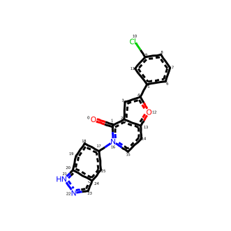 O=c1c2cc(-c3cccc(Cl)c3)oc2ccn1-c1ccc2[nH]ncc2c1